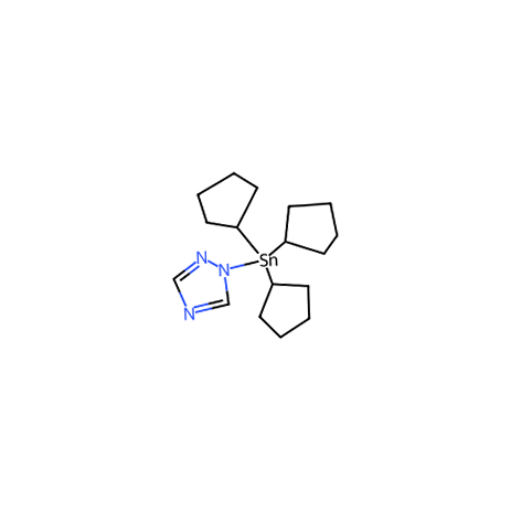 c1nc[n]([Sn]([CH]2CCCC2)([CH]2CCCC2)[CH]2CCCC2)n1